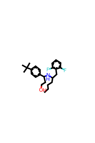 CCCCC(Cc1c(F)cccc1F)NC(CCO)c1ccc(C(C)(C)C)cc1